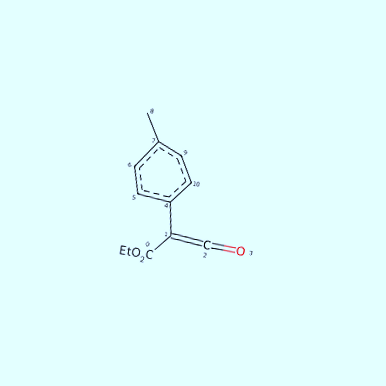 CCOC(=O)C(=C=O)c1ccc(C)cc1